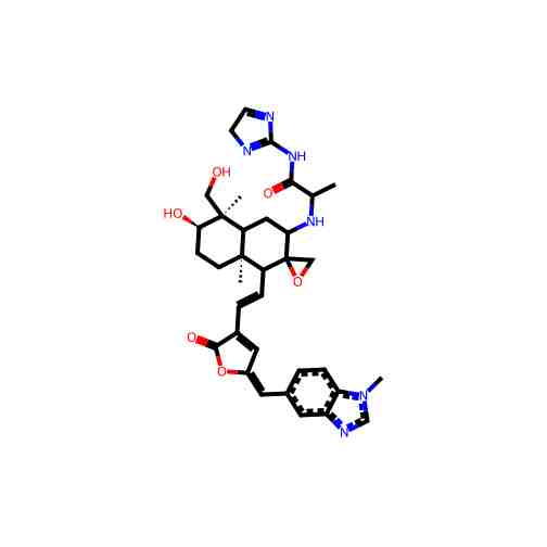 CC(NC1CC2[C@](C)(CC[C@@H](O)[C@@]2(C)CO)C(/C=C/C2=CC(=C\c3ccc4c(c3)ncn4C)/OC2=O)C12CO2)C(=O)NC1=NCC=N1